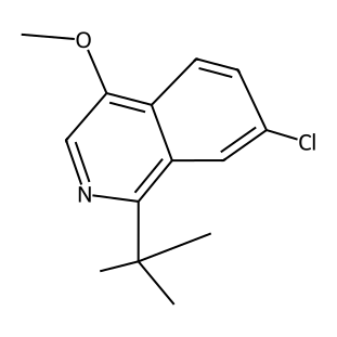 COc1cnc(C(C)(C)C)c2cc(Cl)ccc12